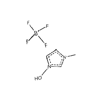 C[n+]1ccn(O)c1.F[B-](F)(F)F